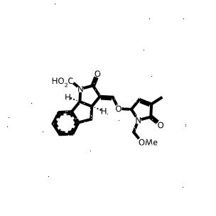 COCN1C(=O)C(C)=CC1O/C=C1/C(=O)N(C(=O)O)[C@@H]2c3ccccc3C[C@H]12